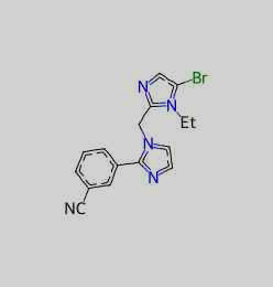 CCn1c(Br)cnc1Cn1ccnc1-c1cccc(C#N)c1